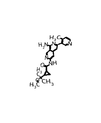 COC(C)(C)C1CC1C(=O)Nc1cc2cc(-c3cnccc3C)nc(N)c2cn1